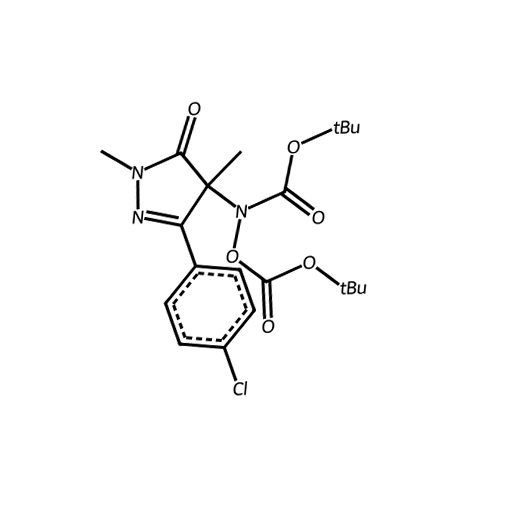 CN1N=C(c2ccc(Cl)cc2)C(C)(N(OC(=O)OC(C)(C)C)C(=O)OC(C)(C)C)C1=O